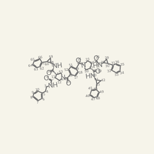 O=C(NCCc1ccccc1)[C@H]1CN(C(=O)c2ccc(C(=O)N3C[C@H](C(=O)NC4CC4c4ccccc4)[C@@H](C(=O)NC4CC4c4ccccc4)C3)cc2)C[C@@H]1C(=O)NC1CC1c1ccccc1